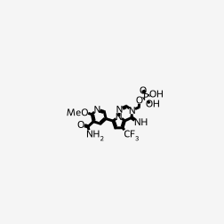 COc1ncc(-c2cc(C(F)(F)F)c3c(=N)n(COP(=O)(O)O)cnn23)cc1C(N)=O